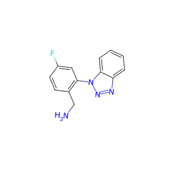 NCc1ccc(F)cc1-n1nnc2ccccc21